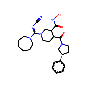 N#CN=C(N1CCCCCC1)N1CCC(C(=O)N2CC[C@H](c3ccccc3)C2)C(C(=O)NO)C1